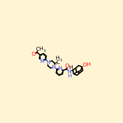 CC(=O)c1ccc(N2CCN(c3cccc(C(=O)N[C@H]4C5CC6CC4C[C@](O)(C6)C5)n3)[C@H](C)C2)nc1